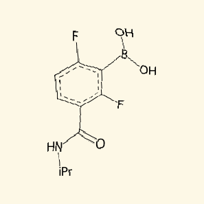 CC(C)NC(=O)c1ccc(F)c(B(O)O)c1F